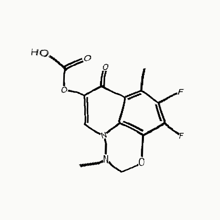 Cc1c(F)c(F)c2c3c1c(=O)c(OC(=O)O)cn3N(C)CO2